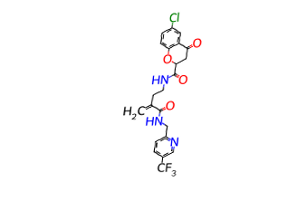 C=C(CCNC(=O)C1CC(=O)c2cc(Cl)ccc2O1)C(=O)NCc1ccc(C(F)(F)F)cn1